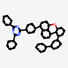 c1ccc(-c2cccc(-c3cccc4c3-c3cccc5c(-c6ccc(-c7nc(-c8ccccc8)nc(-c8ccccc8)n7)cc6)ccc(c35)O4)c2)cc1